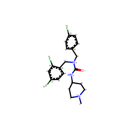 CN1CCC(NC(=O)N(Cc2ccc(F)cc2)Cc2ccc(F)cc2F)CC1